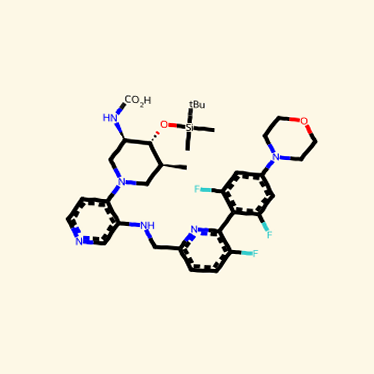 C[C@H]1CN(c2ccncc2NCc2ccc(F)c(-c3c(F)cc(N4CCOCC4)cc3F)n2)C[C@@H](NC(=O)O)[C@@H]1O[Si](C)(C)C(C)(C)C